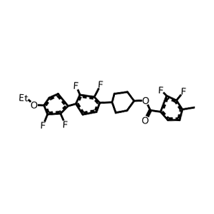 CCOc1ccc(-c2ccc(C3CCC(OC(=O)c4ccc(C)c(F)c4F)CC3)c(F)c2F)c(F)c1F